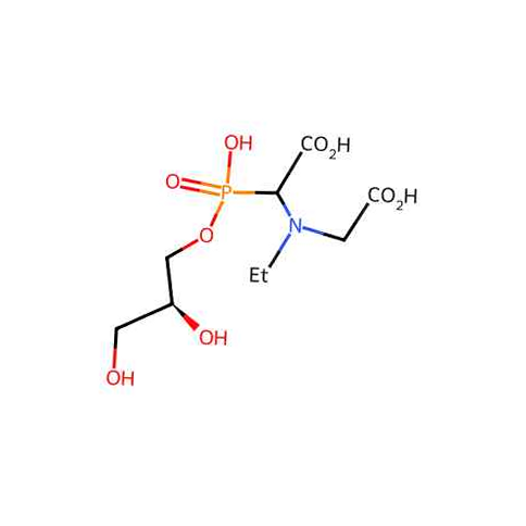 CCN(CC(=O)O)C(C(=O)O)P(=O)(O)OC[C@@H](O)CO